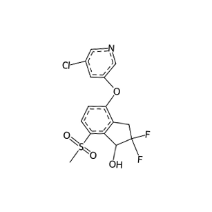 CS(=O)(=O)c1ccc(Oc2cncc(Cl)c2)c2c1C(O)C(F)(F)C2